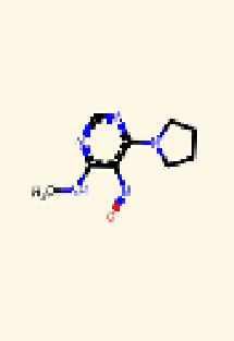 CNc1ncnc(N2CCCC2)c1N=O